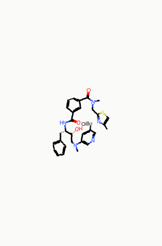 Cc1csc(CN(C)C(=O)c2cccc(C(=O)N[C@@H](Cc3ccccc3)[C@H](O)CN(C)c3cncc(OCC(C)C)c3)c2)n1